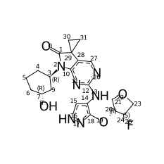 O=C1N([C@@H]2CCC[C@@H](O)C2)c2nc(Nc3c[nH]nc3O[C@@H]3COC[C@@H]3F)ncc2C12CC2